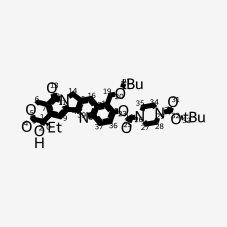 CC[C@@]1(O)C(=O)OCc2c1cc1n(c2=O)Cc2cc3c(COC(C)(C)C)c(OC(=O)N4CCN(C(=O)OC(C)(C)C)CC4)ccc3nc2-1